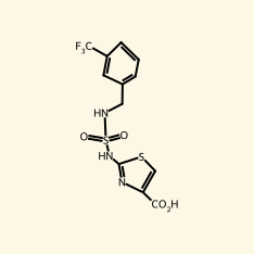 O=C(O)c1csc(NS(=O)(=O)NCc2cccc(C(F)(F)F)c2)n1